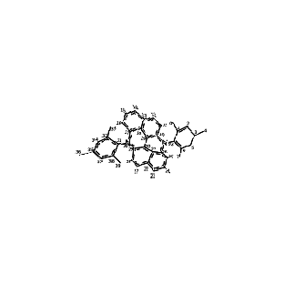 CC1=CC(C)CC(C)=C1n1c2ccc3cccc4c3c2-c2c3c(cccc31)ccc2n4-c1c(C)cc(C)cc1C